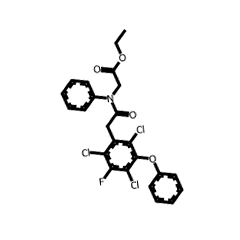 CCOC(=O)CN(C(=O)Cc1c(Cl)c(F)c(Cl)c(Oc2ccccc2)c1Cl)c1ccccc1